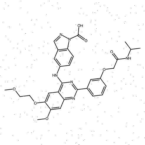 COCCOc1cc2c(Nc3ccc4c(cnn4C(=O)O)c3)nc(-c3cccc(OCC(=O)NC(C)C)c3)nc2cc1OC